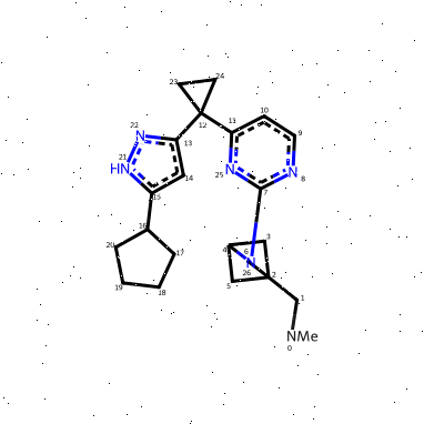 CNCC12CC(C1)N(c1nccc(C3(c4cc(C5CCCC5)[nH]n4)CC3)n1)C2